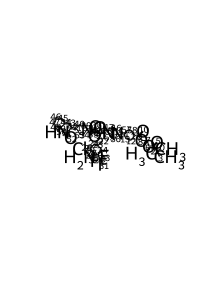 CC(C)(C)C(=O)OCOC(=O)c1ccc(N2CCN(C(=O)[C@@H](Cc3cc(Cl)c(N)c(C(F)(F)F)c3)OC(=O)N3CCC(c4cc5ccccc5[nH]c4=O)CC3)CC2)cc1